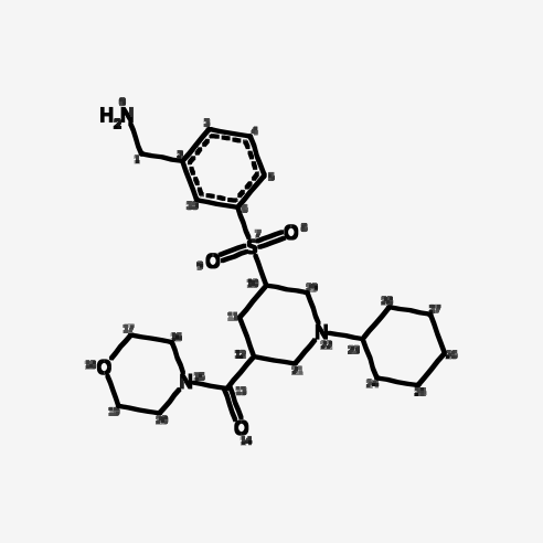 NCc1cccc(S(=O)(=O)C2CC(C(=O)N3CCOCC3)CN(C3CCCCC3)C2)c1